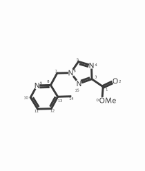 COC(=O)c1ncn(Cc2ncccc2C)n1